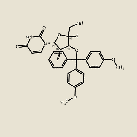 COc1ccc(C(O[C@H]2[C@@H](F)[C@H](n3ccc(=O)[nH]c3=O)O[C@]2(F)CO)(c2ccccc2)c2ccc(OC)cc2)cc1